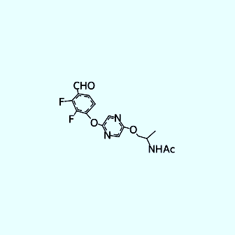 CC(=O)NC(C)COc1cnc(Oc2ccc(C=O)c(F)c2F)cn1